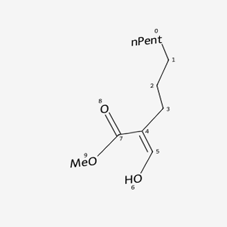 CCCCCCCCC(=CO)C(=O)OC